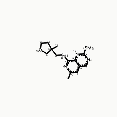 CSc1ncc2cc(C)nc(NCC3(C)CCOC3)c2n1